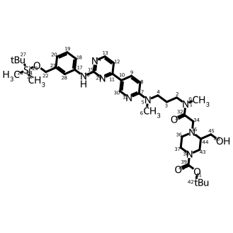 CN(CCCN(C)c1ccc(-c2ccnc(Nc3cccc(CO[Si](C)(C)C(C)(C)C)c3)n2)cn1)C(=O)CN1CCN(C(=O)OC(C)(C)C)CC1CO